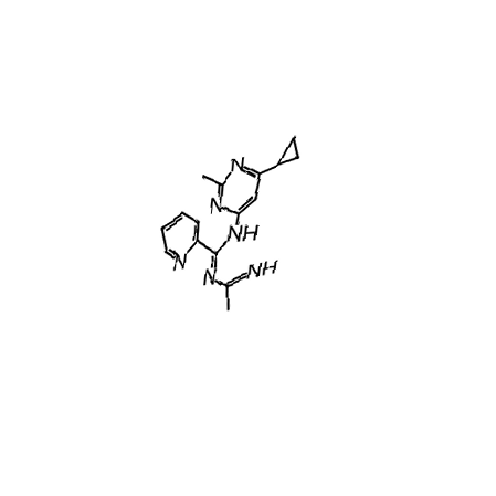 CC(=N)/N=C(\Nc1cc(C2CC2)nc(C)n1)c1ccccn1